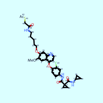 COc1cc2c(Oc3ccc(NC(=O)C4(C(=O)NC5CC5)CC4)cc3F)ccnc2cc1OCCCCCNC(=O)CSC(C)=O